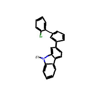 CCn1c2ccccc2c2ccc(-c3cccc(-c4ccccc4Br)c3)cc21